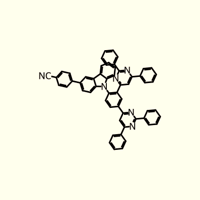 N#Cc1ccc(-c2ccc3c(c2)c2ccccc2n3-c2ccc(-c3cc(-c4ccccc4)nc(-c4ccccc4)n3)cc2-c2cc(-c3ccccc3)nc(-c3ccccc3)n2)cc1